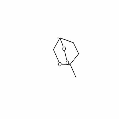 CC12CC[C](CO1)OO2